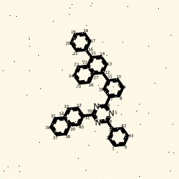 c1ccc(-c2nc(-c3cccc(-c4ccc(-c5ccccc5)c5ccccc45)c3)nc(-c3ccc4ccccc4c3)n2)cc1